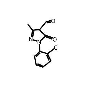 CC1=NN(c2ccccc2Cl)C(=O)C1C=O